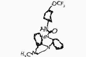 CN1CCN(c2ccccc2NC(=O)Nc2ccc(OC(F)(F)F)cc2)c2ccccc21